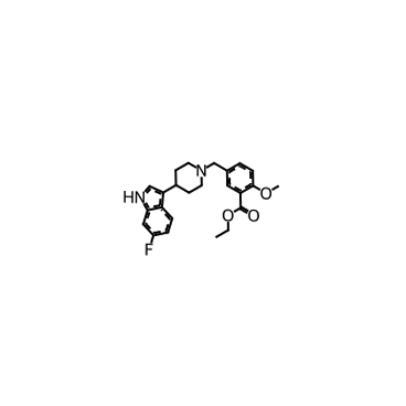 CCOC(=O)c1cc(CN2CCC(c3c[nH]c4cc(F)ccc34)CC2)ccc1OC